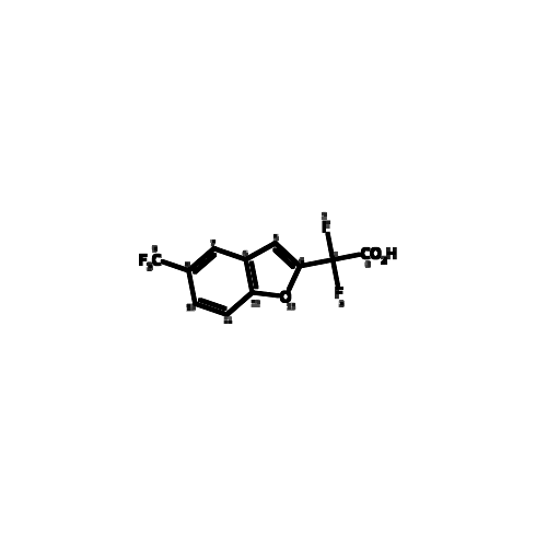 O=C(O)C(F)(F)c1cc2cc(C(F)(F)F)ccc2o1